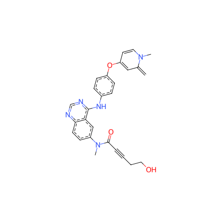 C=C1C=C(Oc2ccc(Nc3ncnc4ccc(N(C)C(=O)C#CCCO)cc34)cc2)C=CN1C